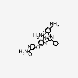 NCc1cccc(-n2nc(C3CCCC3)cc2N(C(N)=O)c2ccc(Oc3ccnc(C(N)=O)c3)cc2F)c1